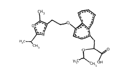 Cc1oc(C(C)C)nc1CCOc1ccc(CC(OC(C)C)C(=O)O)c2ccccc12